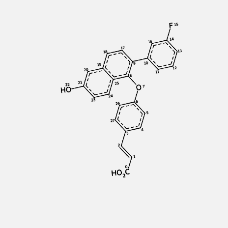 O=C(O)C=Cc1ccc(Oc2c(-c3cccc(F)c3)ccc3cc(O)ccc23)cc1